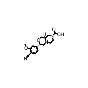 COc1cc([C@H]2CN3CCN(C(=O)O)C[C@H]3CO2)ccc1C#N